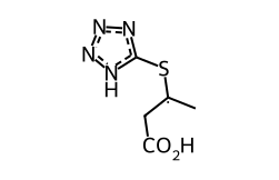 C[C](CC(=O)O)Sc1nnn[nH]1